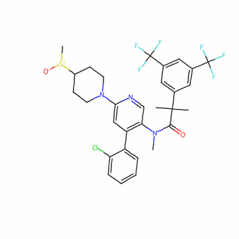 CN(C(=O)C(C)(C)c1cc(C(F)(F)F)cc(C(F)(F)F)c1)c1cnc(N2CCC([S+](C)[O-])CC2)cc1-c1ccccc1Cl